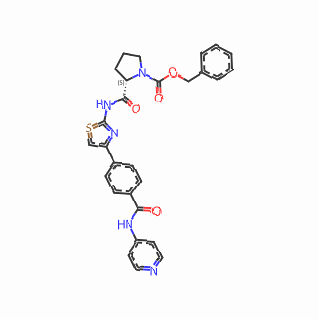 O=C(Nc1ccncc1)c1ccc(-c2csc(NC(=O)[C@@H]3CCCN3C(=O)OCc3ccccc3)n2)cc1